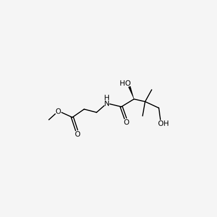 COC(=O)CCNC(=O)[C@@H](O)C(C)(C)CO